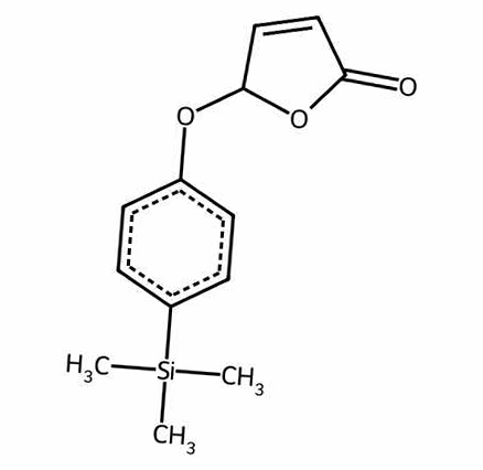 C[Si](C)(C)c1ccc(OC2C=CC(=O)O2)cc1